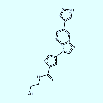 O=C(NCCO)c1cc(-c2cnn3cc(-c4cn[nH]c4)cnc23)cs1